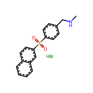 Br.CNCc1ccc(S(=O)(=O)c2ccc3ccccc3c2)cc1